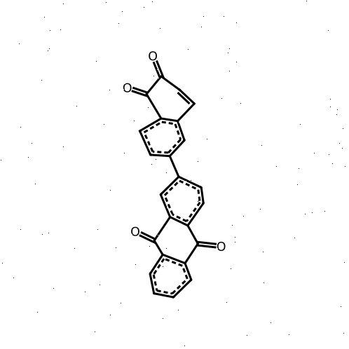 O=C1C=Cc2cc(-c3ccc4c(c3)C(=O)c3ccccc3C4=O)ccc2C1=O